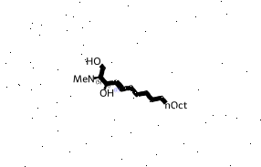 CCCCCCCCCCCCC/C=C/[C@@H](O)[C@H](CO)NC